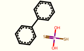 OP(O)(=S)S.c1ccc(-c2ccccc2)cc1